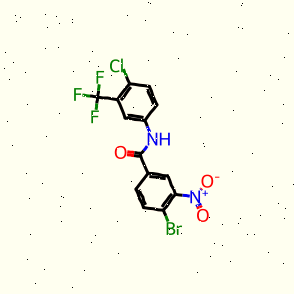 O=C(Nc1ccc(Cl)c(C(F)(F)F)c1)c1ccc(Br)c([N+](=O)[O-])c1